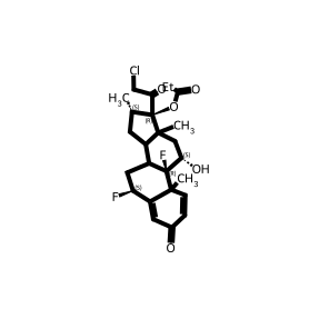 CCC(=O)O[C@]1(C(=O)CCl)[C@@H](C)CC2C3C[C@H](F)C4=CC(=O)C=CC4(C)[C@@]3(F)[C@@H](O)CC21C